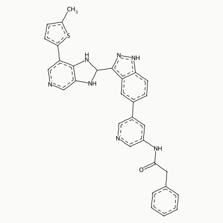 Cc1ccc(-c2cncc3c2NC(c2n[nH]c4ccc(-c5cncc(NC(=O)Cc6ccccc6)c5)cc24)N3)s1